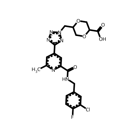 Cc1cc(-c2nnn(CC3COC(C(=O)O)CO3)n2)cc(C(=O)NCc2ccc(F)c(Cl)c2)n1